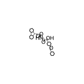 O=C(NCC(=O)C(O)c1ccc(OCc2ccccc2)cc1)OCC1c2ccccc2-c2ccccc21